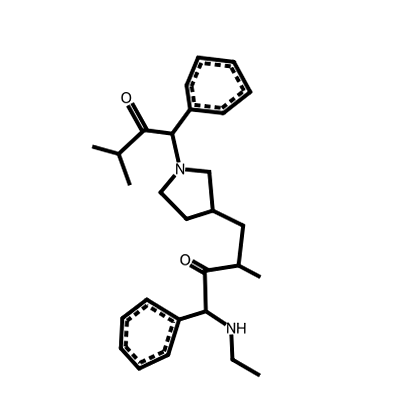 CCNC(C(=O)C(C)CC1CCN(C(C(=O)C(C)C)c2ccccc2)C1)c1ccccc1